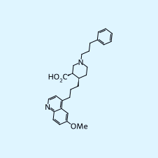 COc1ccc2nccc(CCC[C@@H]3CCN(CCCc4ccccc4)C[C@@H]3C(=O)O)c2c1